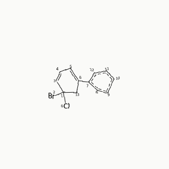 ClC1(Br)C=CC=C(c2ccccc2)C1